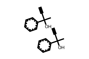 C#CC(C)(O)c1ccccc1.C#CC(C)(O)c1ccccc1